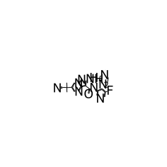 CN1CCN(c2c(F)cncc2NC(=O)c2c(N)nn3cc(C(C)(C)C#N)cnc23)CC1